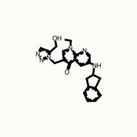 CCn1cc(Cn2nncc2CO)c(=O)c2cc(NC3Cc4ccccc4C3)cnc21